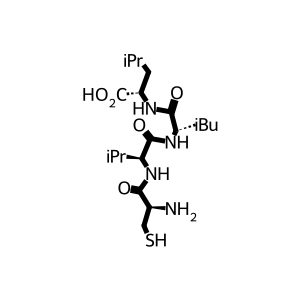 CCC(C)[C@H](NC(=O)[C@@H](NC(=O)[C@@H](N)CS)C(C)C)C(=O)N[C@@H](CC(C)C)C(=O)O